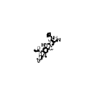 C=CC(=O)Nc1cc(Nc2ncc(C#N)c(NC34CC(C3)C4)n2)c(OC)cc1N(C)CCN(C)C